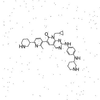 Cc1nc(C2CCCNC2)ccc1-c1cc2cnc(Nc3ccc(NC4CCCNC4)cc3)nc2n(CC2CC2)c1=O